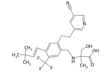 CC(C)(C)/C=C/c1cc(CCc2cncc(C#N)c2)c(CNC(C)(CO)C(=O)O)cc1C(F)(F)F